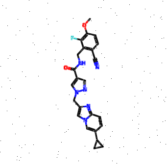 COc1ccc(C#N)c(CNC(=O)c2cnn(Cc3cn4cc(C5CC5)ccc4n3)c2)c1F